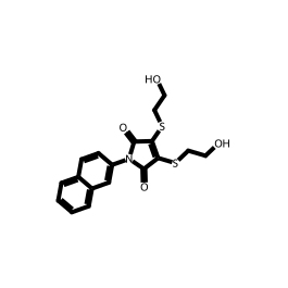 O=C1C(SCCO)=C(SCCO)C(=O)N1c1ccc2ccccc2c1